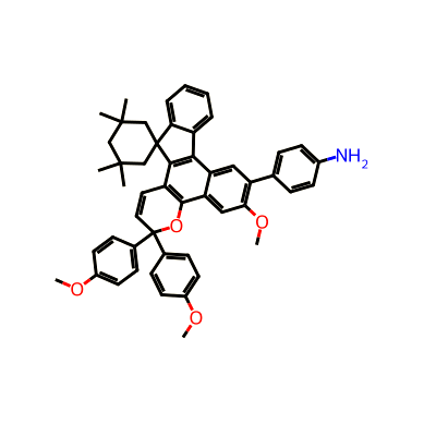 COc1ccc(C2(c3ccc(OC)cc3)C=Cc3c4c(c5cc(-c6ccc(N)cc6)c(OC)cc5c3O2)-c2ccccc2C42CC(C)(C)CC(C)(C)C2)cc1